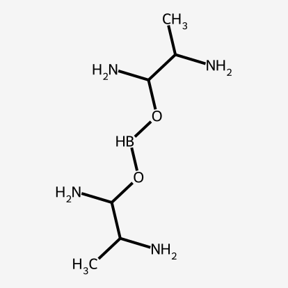 CC(N)C(N)OBOC(N)C(C)N